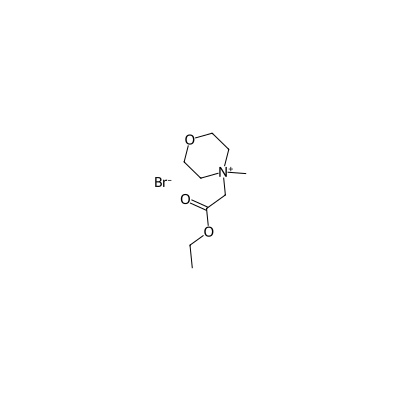 CCOC(=O)C[N+]1(C)CCOCC1.[Br-]